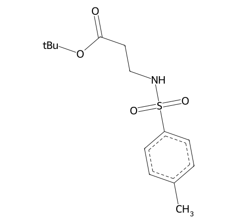 Cc1ccc(S(=O)(=O)NCCC(=O)OC(C)(C)C)cc1